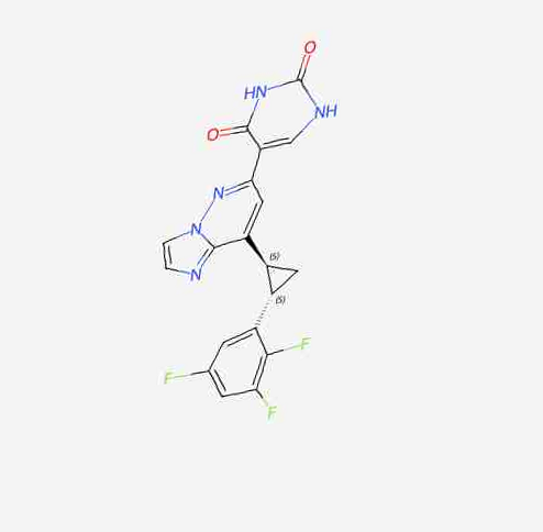 O=c1[nH]cc(-c2cc([C@H]3C[C@@H]3c3cc(F)cc(F)c3F)c3nccn3n2)c(=O)[nH]1